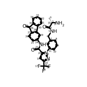 C[C@H](N)C(=O)NCc1cccc(-n2nc(C(F)(F)F)cc2C(=O)Nc2ccc3c(c2)-c2ccccc2C3=O)c1